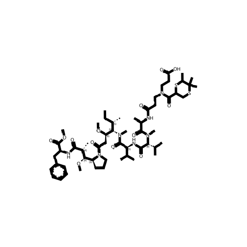 CC[C@H](C)[C@@H]([C@@H](CC(=O)N1CCC[C@H]1[C@H](OC)[C@@H](C)C(=O)NC(Cc1ccccc1)C(=O)OC)OC)N(C)C(=O)[C@@H](NC(=O)[C@@H](C(C)C)N(C)C(=O)C(C)NC(=O)CCN(CCC(=O)O)C(=O)C1CSC(C)(C)C(C)S1)C(C)C